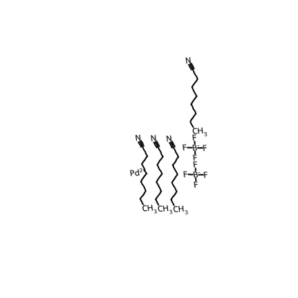 CCCCCCCC#N.CCCCCCCC#N.CCCCCCCC#N.CCCCCCCC#N.F[B-](F)(F)F.F[B-](F)(F)F.[Pd+2]